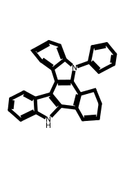 C1=Cc2c(c3c(c4ccccc4n3-c3ccccc3)c3c2[nH]c2ccccc23)CC1